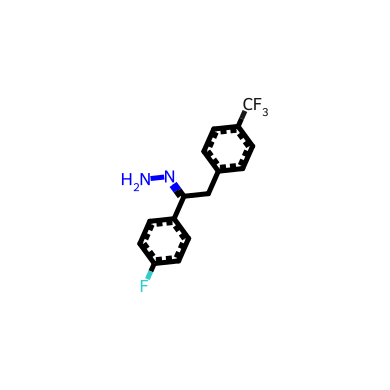 NN=C(Cc1ccc(C(F)(F)F)cc1)c1ccc(F)cc1